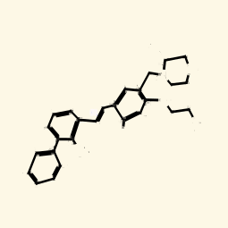 CC(=O)[C@@H]1COCCN1Cc1cc(/C=C/c2cccc(-c3ccccc3)c2C#N)c(C)cc1OCCO